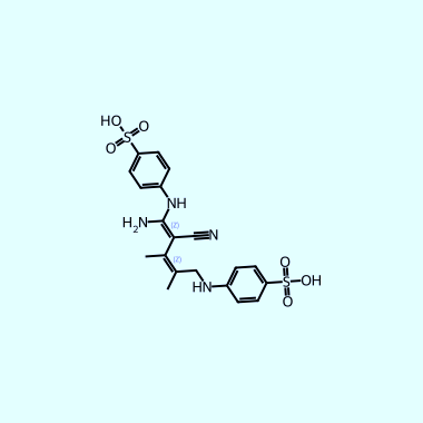 C/C(CNc1ccc(S(=O)(=O)O)cc1)=C(C)/C(C#N)=C(\N)Nc1ccc(S(=O)(=O)O)cc1